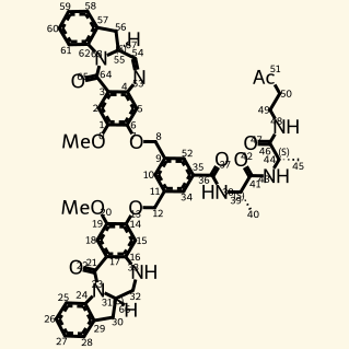 COc1cc2c(cc1OCc1cc(COc3cc4c(cc3OC)C(=O)N3c5ccccc5C[C@H]3CN4)cc(C(=O)N[C@@H](C)C(=O)N[C@@H](C)C(=O)NCCC(C)=O)c1)N=C[C@@H]1Cc3ccccc3N1C2=O